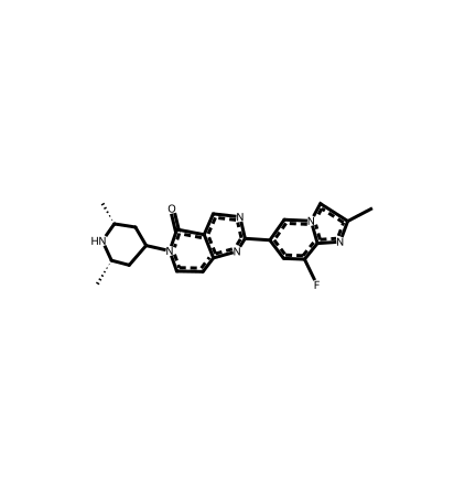 Cc1cn2cc(-c3ncc4c(=O)n(C5C[C@@H](C)N[C@@H](C)C5)ccc4n3)cc(F)c2n1